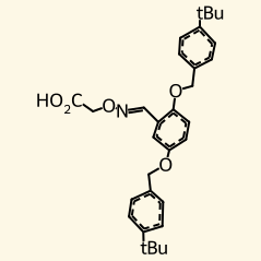 CC(C)(C)c1ccc(COc2ccc(OCc3ccc(C(C)(C)C)cc3)c(C=NOCC(=O)O)c2)cc1